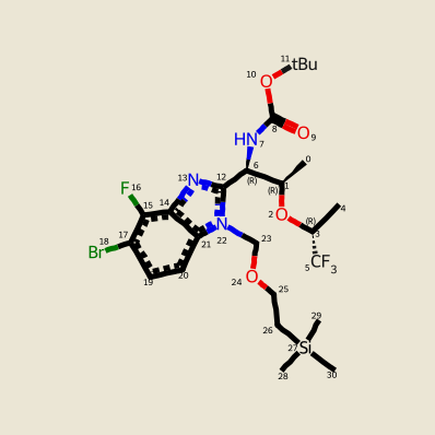 C[C@@H](O[C@H](C)C(F)(F)F)[C@H](NC(=O)OC(C)(C)C)c1nc2c(F)c(Br)ccc2n1COCC[Si](C)(C)C